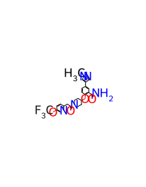 Cn1cc(-c2ccc(OC3CCN(C(=O)Cc4ccc(OC(F)(F)F)cn4)CC3)c(C(N)=O)c2)cn1